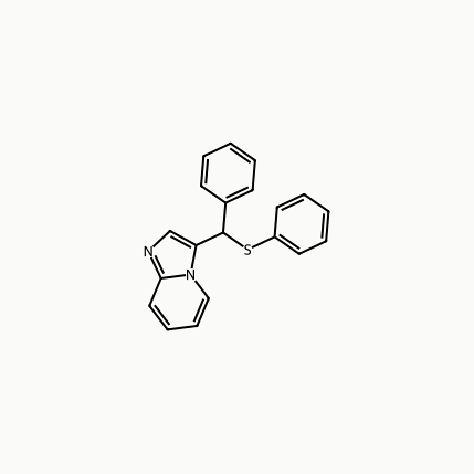 c1ccc(SC(c2ccccc2)c2cnc3ccccn23)cc1